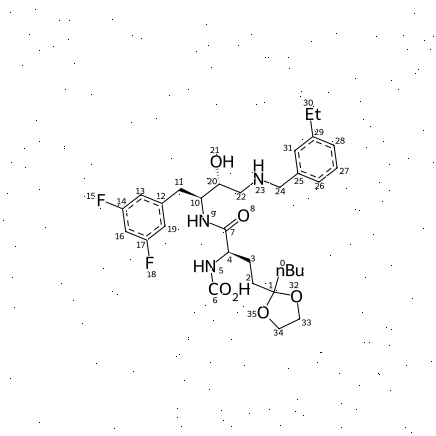 CCCCC1(CC[C@@H](NC(=O)O)C(=O)N[C@@H](Cc2cc(F)cc(F)c2)[C@H](O)CNCc2cccc(CC)c2)OCCO1